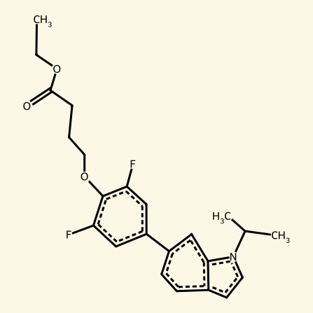 CCOC(=O)CCCOc1c(F)cc(-c2ccc3ccn(C(C)C)c3c2)cc1F